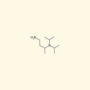 BCCC(C)N(C(C)C)C(C)C